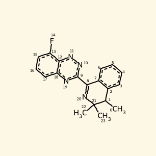 CC1c2ccccc2C(c2nnc3c(F)cccc3n2)=NC1(C)C